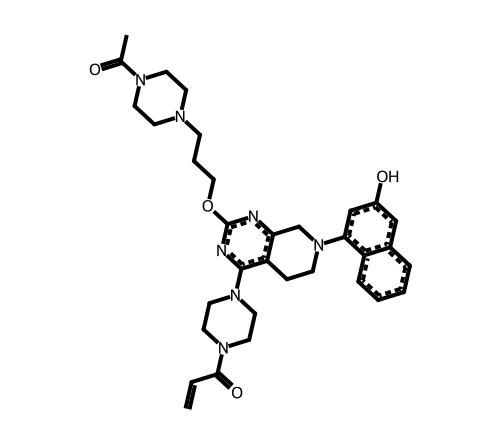 C=CC(=O)N1CCN(c2nc(OCCCN3CCN(C(C)=O)CC3)nc3c2CCN(c2cc(O)cc4ccccc24)C3)CC1